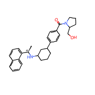 C[C@@H](NC1CCCC(c2ccc(C(=O)N3CCCC3CO)cc2)C1)c1cccc2ccccc12